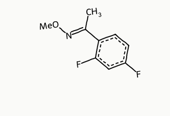 CON=C(C)c1ccc(F)cc1F